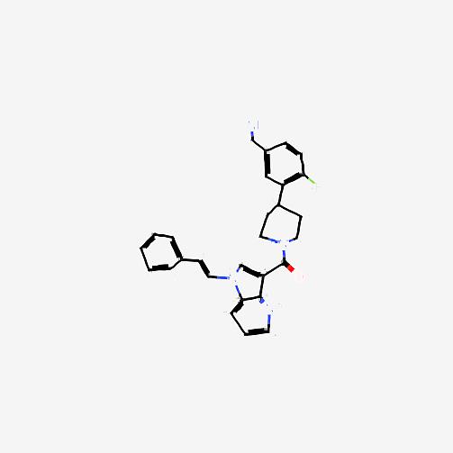 NCc1ccc(F)c(C2CCN(C(=O)c3cn(C=Cc4ccccc4)c4cccnc34)CC2)c1